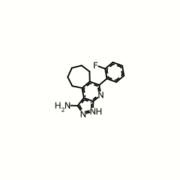 Nc1n[nH]c2nc(-c3ccccc3F)c3c(c12)CCCCC3